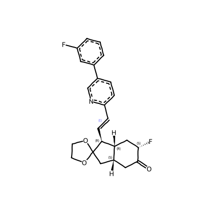 O=C1C[C@@H]2CC3(OCCO3)[C@@H](/C=C/c3ccc(-c4cccc(F)c4)cn3)[C@@H]2C[C@@H]1F